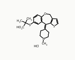 CN1CCC(=C2c3cc(SC(C)(C)C(=O)O)ccc3OCc3ccsc32)CC1.Cl